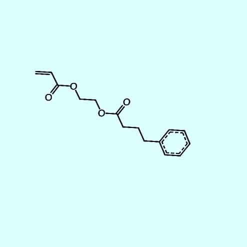 C=CC(=O)OCCOC(=O)CCCc1ccccc1